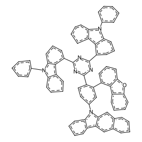 c1ccc(-n2c3ccccc3c3c(-c4nc(-c5ccc(-n6c7ccccc7c7cc8ccccc8cc76)cc5-c5cccc6oc7ccccc7c56)nc(-c5cccc6c5c5ccccc5n6-c5ccccc5)n4)cccc32)cc1